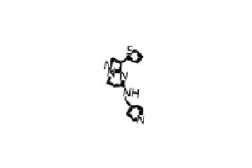 c1csc(-c2cnn3ccc(NCc4ccncc4)nc23)c1